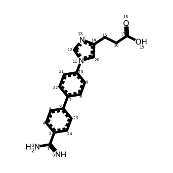 N=C(N)c1ccc(-c2ccc(-n3cnc(CCC(=O)O)c3)cc2)cc1